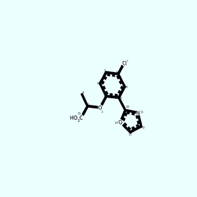 CC(Oc1ccc(Cl)cc1-c1ncco1)C(=O)O